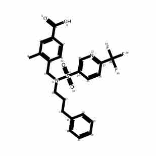 Cc1cc(C(=O)O)ccc1CN(CCCc1ccccc1)S(=O)(=O)c1ccc(C(F)(F)F)nc1